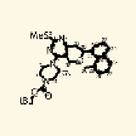 CSc1nc2c(c(N3CCN(C(=O)OC(C)(C)C)C[C@@H]3C)n1)COC(c1cccc3cccc(C)c13)C2